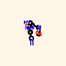 O=c1[nH]ccc2cc(C3C=NN(CC4OCCO4)C3)nc(Nc3ccc(C4CCNCC4)cc3)c12